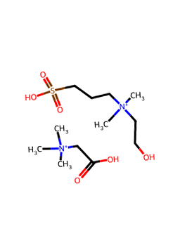 C[N+](C)(C)CC(=O)O.C[N+](C)(CCO)CCCS(=O)(=O)O